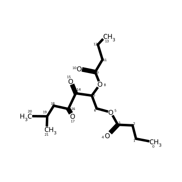 CCCC(=O)OCC(OC(=O)CCC)C(=O)C(=O)CC(C)C